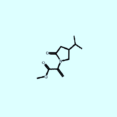 C=C(C(=O)OC)N1CC(C(C)C)CC1=O